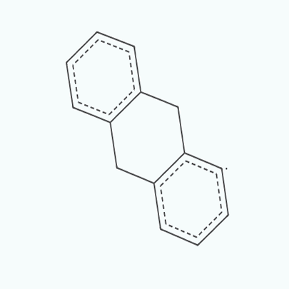 [c]1cccc2c1Cc1ccccc1C2